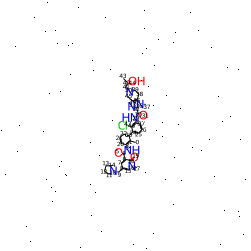 Cc1c(NC(=O)c2cc(CN3CCCC3)cn(C)c2=O)cccc1-c1cccc(NC(=O)c2nc3c(n2C)CCN(CC(C)O)C3)c1Cl